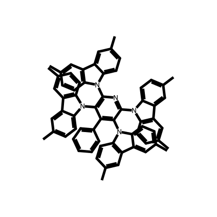 Cc1ccc2c(c1)c1cc(C)ccc1n2-c1nc(-n2c3ccc(C)cc3c3cc(C)ccc32)c(-n2c3ccc(C)cc3c3cc(C)ccc32)c(-c2ccccc2)c1-n1c2ccc(C)cc2c2cc(C)ccc21